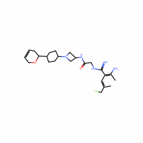 C/C(N)=C(\C=C(/C)CF)C(=N)NCC(=O)NC1CN(C2CCC(C3CC=CCO3)CC2)C1